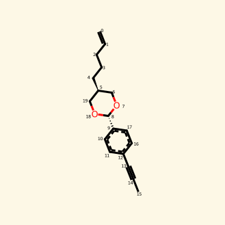 C=CCCC[C@H]1CO[C@H](c2ccc(C#CC)cc2)OC1